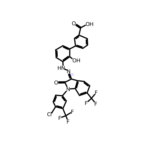 O=C(O)c1cccc(-c2cccc(N/N=C3\C(=O)N(c4ccc(Cl)c(C(F)(F)F)c4)c4cc(C(F)(F)F)ccc43)c2O)c1